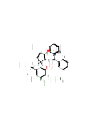 CC(C)(C)C1=[C]([Ti]([O]c2cc(Cl)cc(C(C)(C)C)c2)=[C](c2ccccc2)c2ccccc2)CC=C1.Cl.Cl